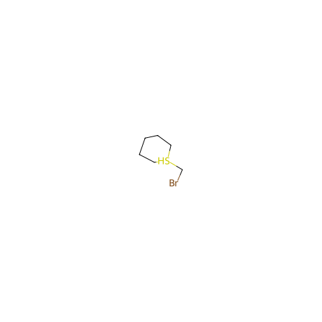 BrC[SH]1CCCCC1